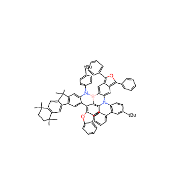 CC(C)(C)c1ccc(N2B3c4cc5c(-c6ccccc6)oc(-c6ccccc6)c5cc4N(c4ccc(C(C)(C)C)cc4-c4ccccc4)c4cc5c(oc6ccccc65)c(c43)-c3cc4c(cc32)C(C)(C)c2cc3c(cc2-4)C(C)(C)CCC3(C)C)cc1